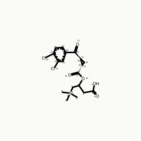 C[N+](C)(C)CC(CC(=O)O)OC(=O)[C@H]1C[C@@H]1C(=O)c1ccc(Cl)c(Cl)c1